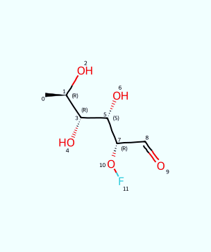 C[C@@H](O)[C@@H](O)[C@H](O)[C@H](C=O)OF